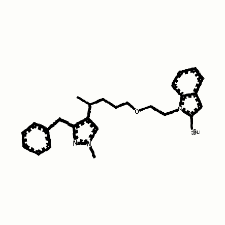 CC(CCCOCCn1c(C(C)(C)C)cc2ccccc21)c1cn(C)nc1Cc1ccccc1